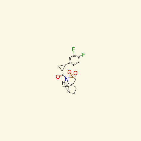 CC1(C)C2CC[C@]13CS(=O)(=O)N(C(=O)[C@@H]1C[C@H]1c1ccc(F)c(F)c1)[C@@H]3C2